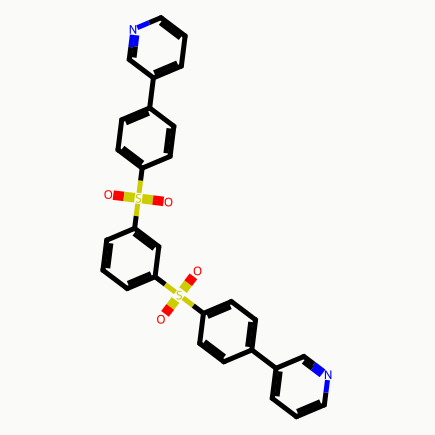 O=S(=O)(c1ccc(-c2cccnc2)cc1)c1cccc(S(=O)(=O)c2ccc(-c3cccnc3)cc2)c1